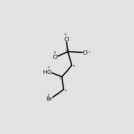 OC(CBr)CC(Cl)(Cl)Cl